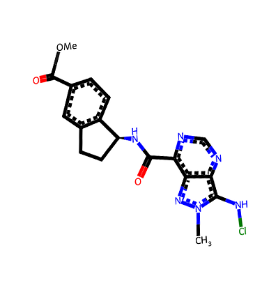 COC(=O)c1ccc2c(c1)CC[C@@H]2NC(=O)c1ncnc2c(NCl)n(C)nc12